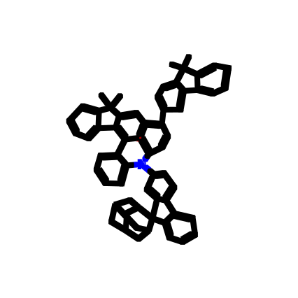 CC1(C)c2ccccc2-c2cc(-c3ccc(N(c4ccc5c(c4)C4(c6ccccc6-5)C5CC6CC(C5)CC4C6)c4ccccc4-c4cccc5c4-c4ccccc4C5(C)C)cc3)ccc21